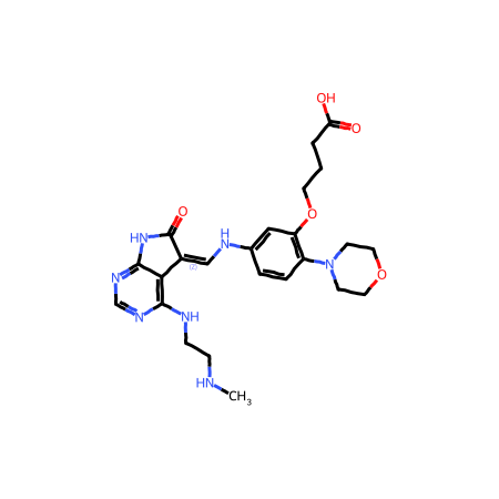 CNCCNc1ncnc2c1/C(=C/Nc1ccc(N3CCOCC3)c(OCCCC(=O)O)c1)C(=O)N2